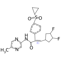 Cc1cnc(NC(=O)/C(=C/C2CC(F)C(F)C2)c2ccc(S(=O)(=O)C3CC3)cc2)cn1